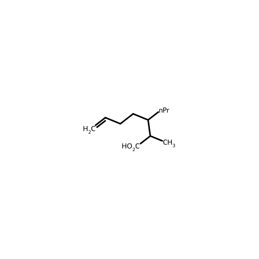 C=CCCC(CCC)C(C)C(=O)O